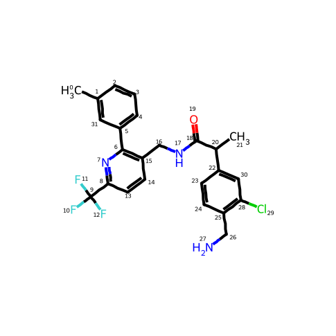 Cc1cccc(-c2nc(C(F)(F)F)ccc2CNC(=O)C(C)c2ccc(CN)c(Cl)c2)c1